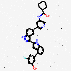 Oc1cc(F)cc(-c2cccc3[nH]c(-c4n[nH]c5ccc(-c6cncc(NC(O)C7CCCCC7)c6)cc45)cc23)c1